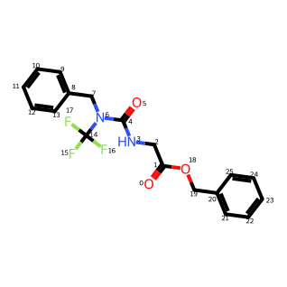 O=C(CNC(=O)N(Cc1ccccc1)C(F)(F)F)OCc1ccccc1